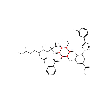 COC(=O)C1CC(OC2OC(CO)C(O)C(OC(O)(CC(O)C(C[C@H](O)[C@H](O)CO)NC(C)=O)C(=O)O)C2OC(=O)c2ccccc2)C(OC2OC(C)C(O)C(O)C2O)C(n2cc(-c3cccc(F)c3)nn2)C1